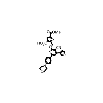 COC(=O)c1cc(C(=O)O)c(COc2nc(-c3ccc(N4CCOCC4)cc3)cc(-c3ccoc3)c2C#N)s1